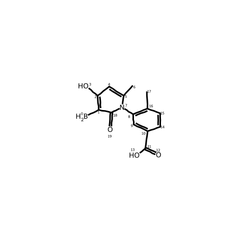 Bc1c(O)cc(C)n(-c2cc(C(=O)O)ccc2C)c1=O